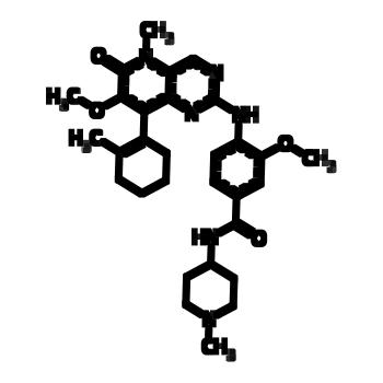 COc1cc(C(=O)NC2CCN(C)CC2)ccc1Nc1ncc2c(n1)c(C1=C(C)CCCC1)c(OC)c(=O)n2C